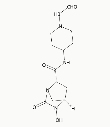 O=CBN1CCC(NC(=O)[C@@H]2C[C@@H]3CN2C(=O)N3O)CC1